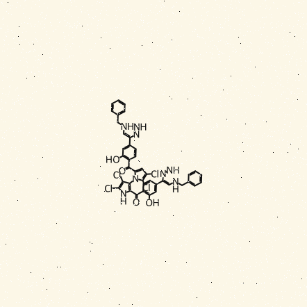 N=N/C(=C\NCc1ccccc1)c1ccc(C(=O)c2[nH]c(Cl)c(Cl)c2-n2c(C(=O)c3ccc(/C(=C/NCc4ccccc4)N=N)cc3O)cc(Cl)c2Cl)c(O)c1